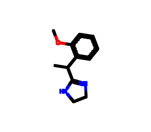 COc1ccccc1C(C)C1=NCCN1